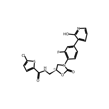 O=C(NC[C@H]1CN(c2ccc(-c3cccnc3O)cc2F)C(=O)O1)c1ccc(Cl)s1